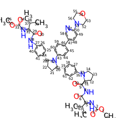 COC(=O)N[C@H](C(=O)NC(=O)[C@@H]1CCCN1c1ccc([C@@H]2CC[C@H](c3ccc(NC(=O)[C@@H](NC(=O)OC)C(C)C)cc3)N2c2ccc(-c3ccc(N4CCOCC4)nc3)cc2)cc1)C(C)C